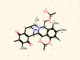 COC1=C(C)C(=O)C2=C(C1=O)C1C3=Cc4c(OC(C)O)c(C)c(OC)c(OC)c4[C@H](COC(C)O)N3[C@@H](C#N)C(C2)N1C